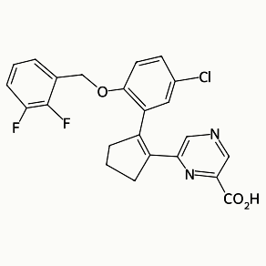 O=C(O)c1cncc(C2=C(c3cc(Cl)ccc3OCc3cccc(F)c3F)CCC2)n1